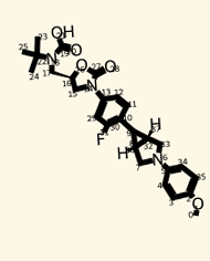 COc1ccc(N2C[C@@H]3C(c4ccc(N5C[C@@H](CN(C(=O)O)C(C)(C)C)OC5=O)cc4F)[C@@H]3C2)cc1